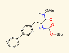 CON(C)C(=O)C(Cc1ccc(-c2ccccc2)cc1)NC(=O)OC(C)(C)C